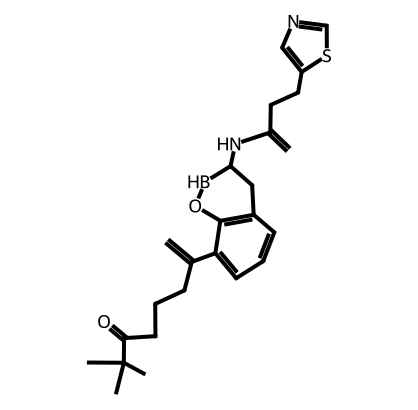 C=C(CCc1cncs1)NC1BOc2c(cccc2C(=C)CCCC(=O)C(C)(C)C)C1